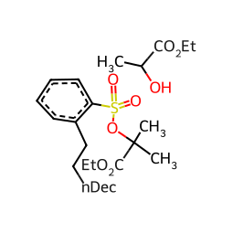 CCCCCCCCCCCCc1ccccc1S(=O)(=O)OC(C)(C)C(=O)OCC.CCOC(=O)C(C)O